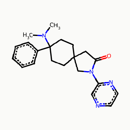 CN(C)C1(c2ccccc2)CCC2(CC1)CC(=O)N(c1cnccn1)C2